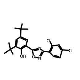 CC(C)(C)c1cc(-c2nc(-c3ccc(Cl)cc3Cl)no2)c(O)c(C(C)(C)C)c1